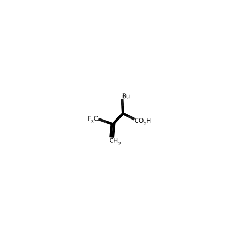 C=C(C(C(=O)O)C(C)CC)C(F)(F)F